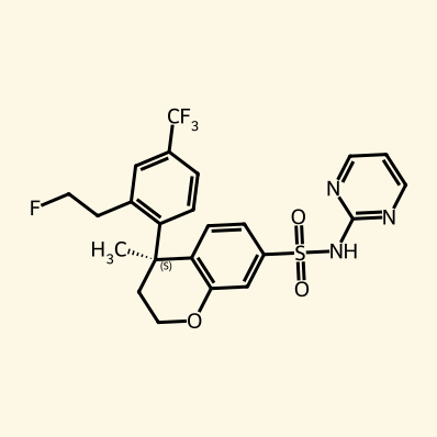 C[C@@]1(c2ccc(C(F)(F)F)cc2CCF)CCOc2cc(S(=O)(=O)Nc3ncccn3)ccc21